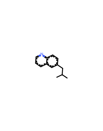 C[C](C)Cc1ccc2ncccc2c1